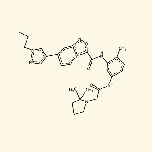 Cc1ncc(NC(=O)CN2CCCC2(C)C)cc1NC(=O)c1nnc2cc(-c3cnn(CCF)c3)ccn12